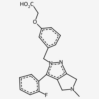 CN1Cc2nn(Cc3cccc(OCC(=O)O)c3)c(-c3ccccc3F)c2C1